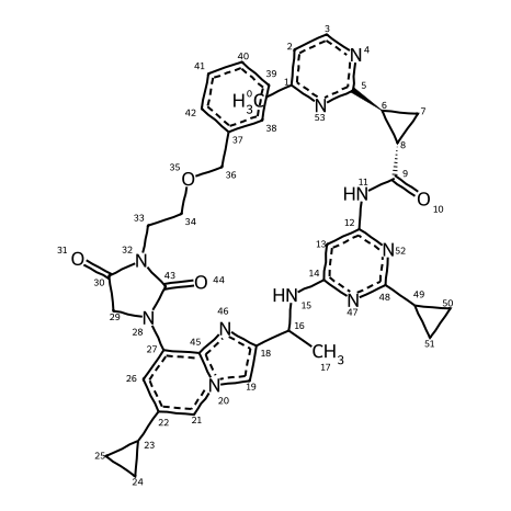 Cc1ccnc([C@H]2C[C@@H]2C(=O)Nc2cc(NC(C)c3cn4cc(C5CC5)cc(N5CC(=O)N(CCOCc6ccccc6)C5=O)c4n3)nc(C3CC3)n2)n1